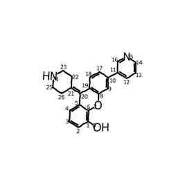 Oc1cccc2c1Oc1cc(-c3cccnc3)ccc1C2=C1CCNCC1